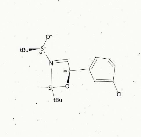 CC(C)(C)[S@@+]([O-])N=C[C@H](O[Si](C)(C)C(C)(C)C)c1cccc(Cl)c1